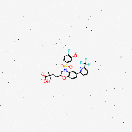 COc1cc(S(=O)(=O)N2CC(CCC(C)(C)C(=O)O)Oc3ccc(-c4cccc(C(F)(F)F)n4)cc32)ccc1F